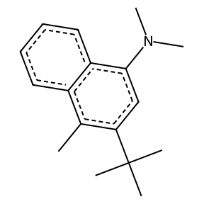 Cc1c(C(C)(C)C)cc(N(C)C)c2ccccc12